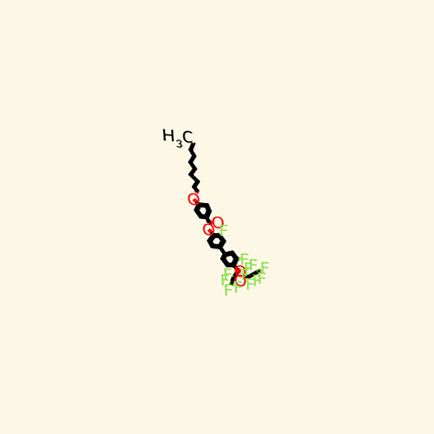 CCCCCCCCCCOc1ccc(C(=O)Oc2ccc(-c3ccc(C(=O)C(F)(OC(F)(F)C(F)(F)C(F)(F)F)C(F)(F)F)c(F)c3)cc2F)cc1